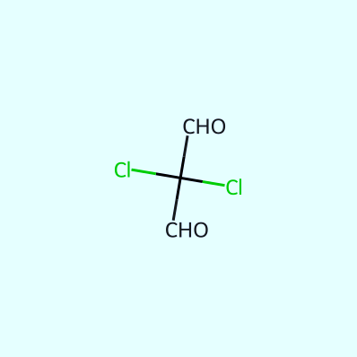 O=CC(Cl)(Cl)C=O